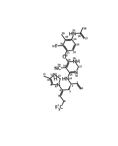 C=C[C@@H](C/C(=C\CC(F)(F)F)N1C=C(C)NC1)NC1=NCNC(Oc2ccc(NC(=C)C)c(C)c2F)=C1C#N